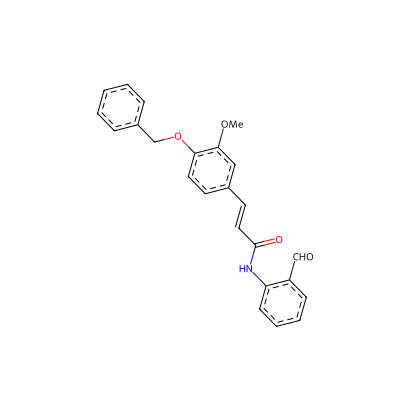 COc1cc(/C=C/C(=O)Nc2ccccc2C=O)ccc1OCc1ccccc1